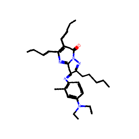 CCCCCC1=Nn2c(nc(CCCC)c(CCCC)c2=O)C1=Nc1ccc(N(CC)CC)cc1C